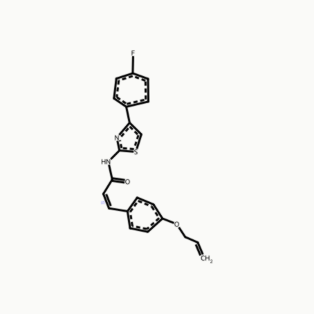 C=CCOc1ccc(/C=C\C(=O)Nc2nc(-c3ccc(F)cc3)cs2)cc1